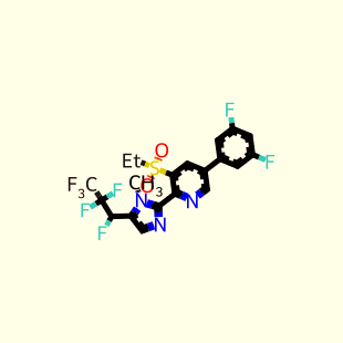 CCS(=O)(=O)c1cc(-c2cc(F)cc(F)c2)cnc1-c1ncc(C(F)C(F)(F)C(F)(F)F)n1C